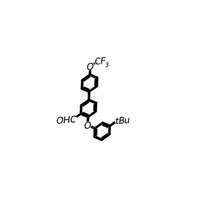 CC(C)(C)c1cccc(Oc2ccc(-c3ccc(OC(F)(F)F)cc3)cc2C=O)c1